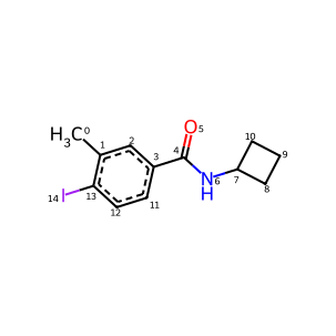 Cc1cc(C(=O)NC2CCC2)ccc1I